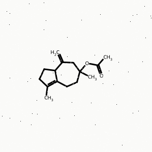 C=C1CC(C)(OC(C)=O)CCC2=C(C)CCC12